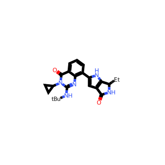 CCC1NC(=O)c2cc(-c3cccc4c(=O)n(C5CC5)c(NC(C)(C)C)nc34)[nH]c21